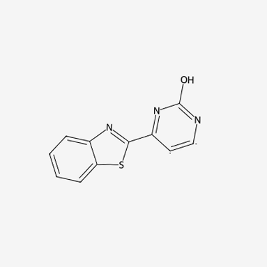 Oc1n[c][c]c(-c2nc3ccccc3s2)n1